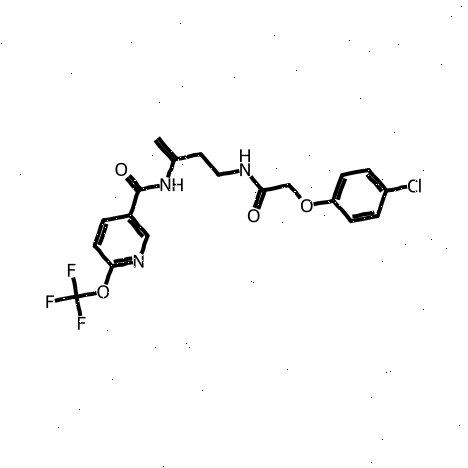 C=C(CCNC(=O)COc1ccc(Cl)cc1)NC(=O)c1ccc(OC(F)(F)F)nc1